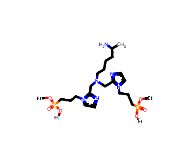 CCOP(=O)(CCCn1ccnc1CN(CCCCC(C)N)Cc1nccn1CCCP(=O)(OCC)OCC)OCC